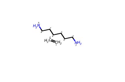 C=C.NCCCCCCN